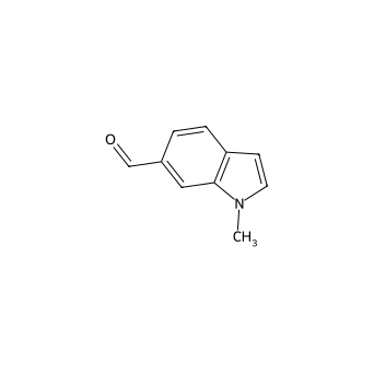 Cn1ccc2ccc(C=O)cc21